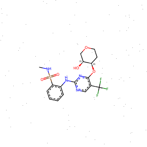 CNS(=O)(=O)c1ccccc1Nc1ncc(C(F)(F)F)c(O[C@@H]2CCOC[C@@H]2O)n1